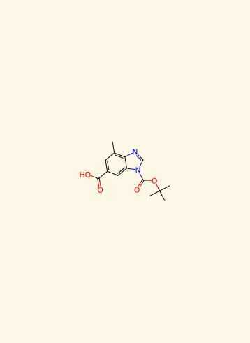 Cc1cc(C(=O)O)cc2c1ncn2C(=O)OC(C)(C)C